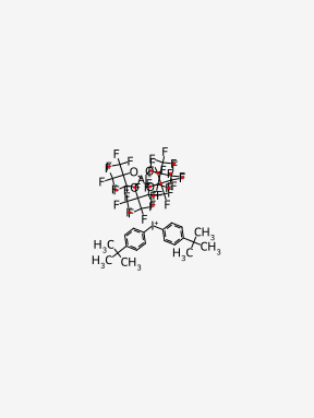 CC(C)(C)c1ccc([I+]c2ccc(C(C)(C)C)cc2)cc1.FC(F)(F)C([O][Al-]([O]C(C(F)(F)F)(C(F)(F)F)C(F)(F)F)([O]C(C(F)(F)F)(C(F)(F)F)C(F)(F)F)[O]C(C(F)(F)F)(C(F)(F)F)C(F)(F)F)(C(F)(F)F)C(F)(F)F